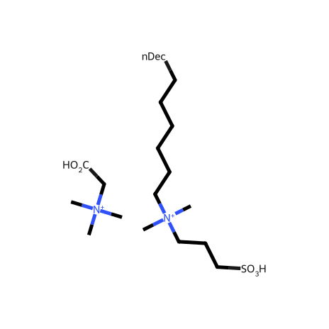 CCCCCCCCCCCCCCCC[N+](C)(C)CCCS(=O)(=O)O.C[N+](C)(C)CC(=O)O